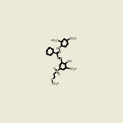 O=C(O)c1cc(S(=O)(=O)O)ccc1N/N=C(/N=N/c1cc(S(=O)(=O)CCOS(=O)(=O)O)cc(S(=O)(=O)O)c1O)c1ccccc1